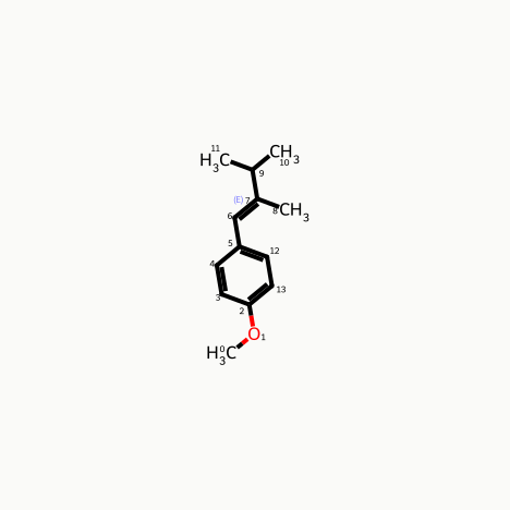 COc1ccc(/C=C(\C)C(C)C)cc1